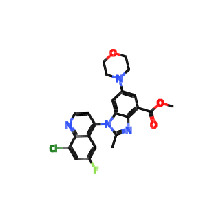 COC(=O)c1cc(N2CCOCC2)cc2c1nc(C)n2-c1ccnc2c(Cl)cc(F)cc12